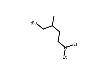 CCN(CC)CCC(C)CC(C)(C)C